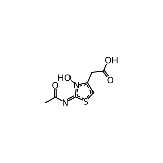 CC(=O)N=c1scc(CC(=O)O)n1O